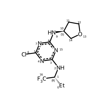 CC[C@@H](Nc1nc(Cl)nc(N[C@H]2CCOC2)n1)C(F)(F)F